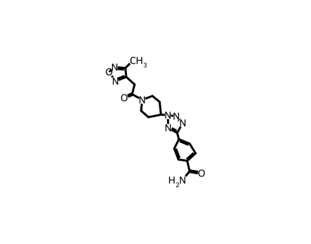 Cc1nonc1CC(=O)N1CCC(n2nnc(-c3ccc(C(N)=O)cc3)n2)CC1